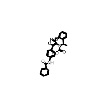 Cc1noc(-c2ccc(NC(=O)c3ccccc3)cc2)c1N(C(=O)O)C(C)c1ccccc1Cl